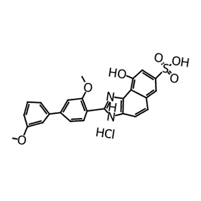 COc1cccc(-c2ccc(-c3nc4c(ccc5cc(S(=O)(=O)O)cc(O)c54)[nH]3)c(OC)c2)c1.Cl